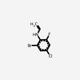 C=CNc1c(F)cc(Cl)cc1Br